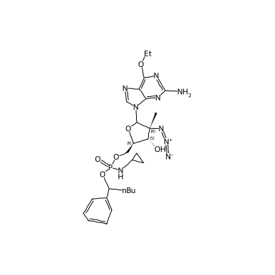 CCCCC(OP(=O)(NC1CC1)OC[C@H]1OC(n2cnc3c(OCC)nc(N)nc32)[C@](C)(N=[N+]=[N-])[C@@H]1O)c1ccccc1